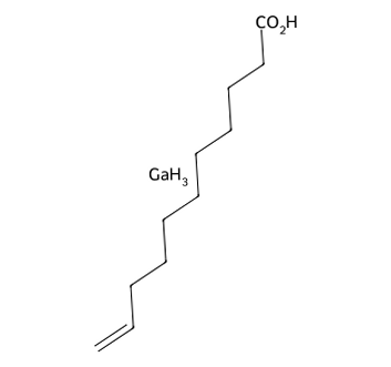 C=CCCCCCCCCC(=O)O.[GaH3]